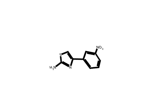 Nc1nc(-c2cccc([N+](=O)[O-])c2)cs1